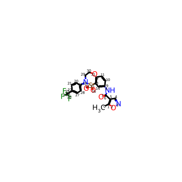 Cc1oncc1C(=O)Nc1ccc2c(c1)S(=O)(=O)N(c1ccc(C(F)(F)F)cc1)CCO2